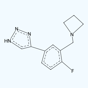 Fc1ccc(-c2c[nH]nn2)cc1CN1CCC1